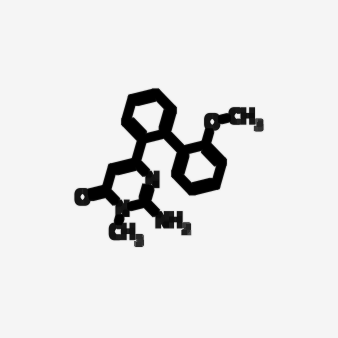 COc1ccccc1-c1ccccc1-c1cc(=O)n(C)c(N)n1